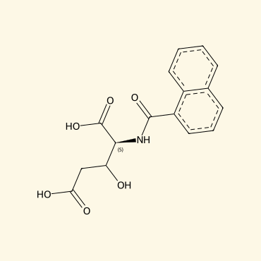 O=C(O)CC(O)[C@H](NC(=O)c1cccc2ccccc12)C(=O)O